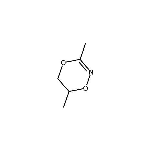 CC1=NOC(C)CO1